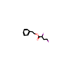 O=C(OCCc1ccccc1)C(I)CCI